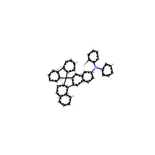 Fc1ccccc1N(c1ccccc1)c1ccc2cc3c(cc2c1)C1(c2ccccc2-c2ccccc21)c1ccc2ccccc2c1-3